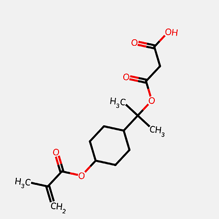 C=C(C)C(=O)OC1CCC(C(C)(C)OC(=O)CC(=O)O)CC1